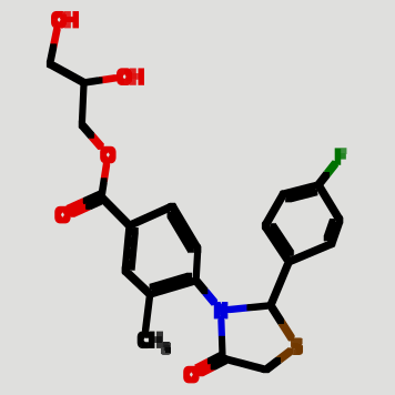 Cc1cc(C(=O)OCC(O)CO)ccc1N1C(=O)CSC1c1ccc(F)cc1